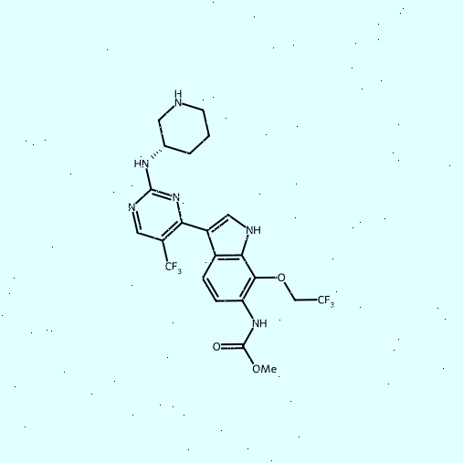 COC(=O)Nc1ccc2c(-c3nc(N[C@H]4CCCNC4)ncc3C(F)(F)F)c[nH]c2c1OCC(F)(F)F